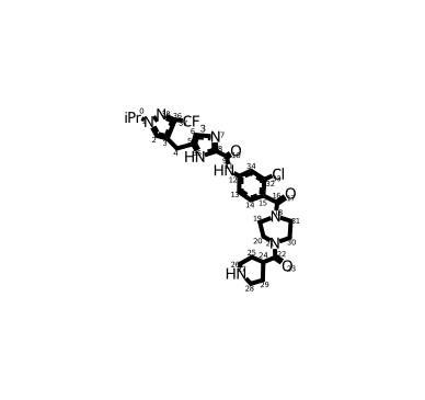 CC(C)n1cc(Cc2cnc(C(=O)Nc3ccc(C(=O)N4CCN(C(=O)C5CCNCC5)CC4)c(Cl)c3)[nH]2)c(C(F)(F)F)n1